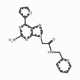 Nc1nc(-c2ccco2)c2ncn(CC(=O)NCc3ccccn3)c2n1